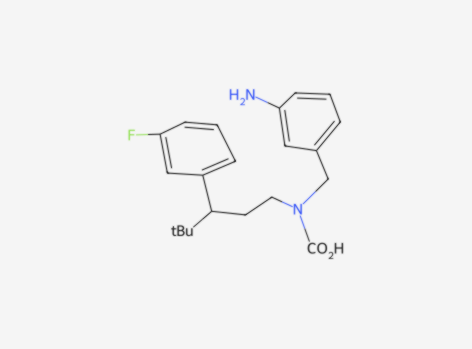 CC(C)(C)C(CCN(Cc1cccc(N)c1)C(=O)O)c1cccc(F)c1